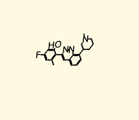 Cc1cc(F)cc(O)c1-c1cc2cccc(C3CCCN(C)C3)c2nn1